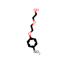 O=[N+]([O-])c1ccc(OCCOCCO)cc1